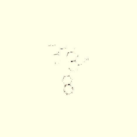 CSC(=O)[C@H](CS)N(C)C(=O)C(C)NC(=O)C(CO)NC(=O)c1cnc2ccccc2n1